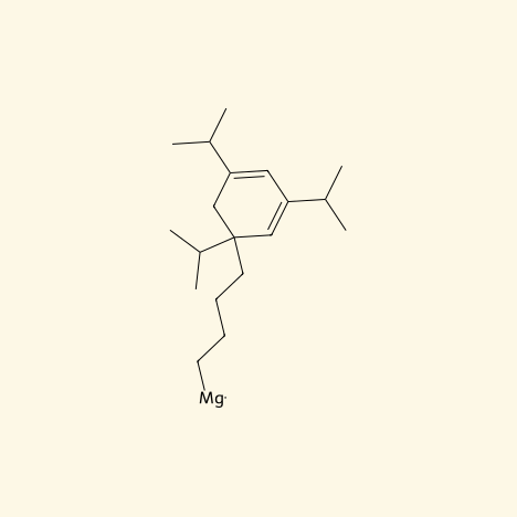 CC(C)C1=CC(CCC[CH2][Mg])(C(C)C)CC(C(C)C)=C1